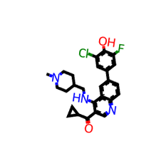 CN1CCC(CNc2c(C(=O)C3CC3)cnc3ccc(-c4cc(F)c(O)c(Cl)c4)cc23)CC1